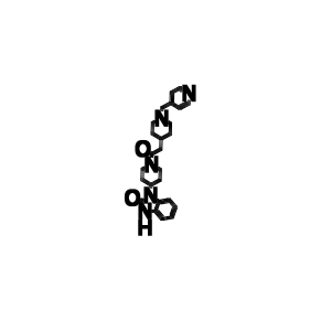 O=C(CC1CCN(Cc2ccncc2)CC1)N1CCC(n2c(=O)[nH]c3ccccc32)CC1